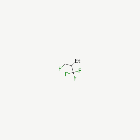 CCC(CF)C(F)(F)F